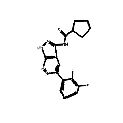 O=C(Nc1n[nH]c2nnc(-c3cccc(F)c3F)cc12)C1CCCC1